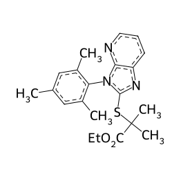 CCOC(=O)C(C)(C)Sc1nc2cccnc2n1-c1c(C)cc(C)cc1C